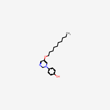 CCCCCCCCCCOC1=CN(c2ccc(O)cc2)CN=C1